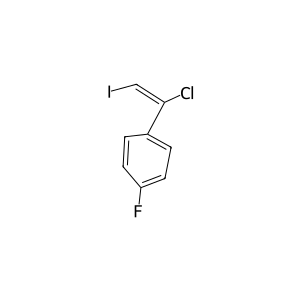 Fc1ccc(/C(Cl)=C\I)cc1